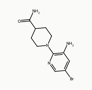 NC(=O)C1CCN(c2ncc(Br)cc2N)CC1